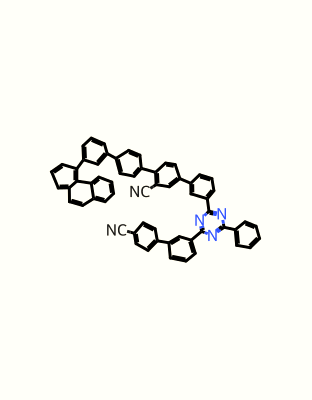 N#Cc1ccc(-c2cccc(-c3nc(-c4ccccc4)nc(-c4cccc(-c5ccc(-c6ccc(-c7cccc(-c8cccc9ccc%10ccccc%10c89)c7)cc6)c(C#N)c5)c4)n3)c2)cc1